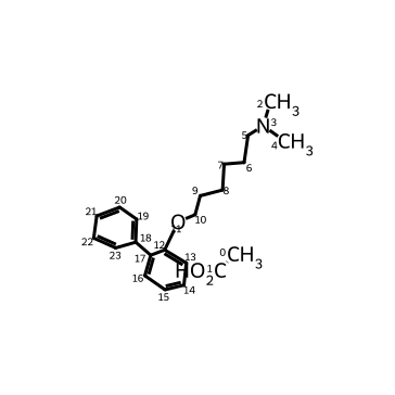 CC(=O)O.CN(C)CCCCCCOc1ccccc1-c1ccccc1